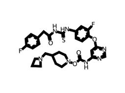 O=C(Cc1ccc(F)cc1)NC(=S)Nc1ccc(Oc2cc(NC(=O)ON3CCC(CN4CCC4)CC3)ncn2)c(F)c1